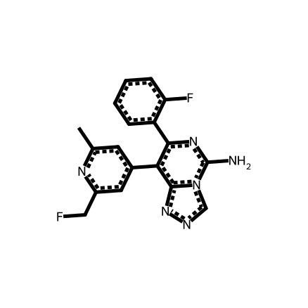 Cc1cc(-c2c(-c3ccccc3F)nc(N)n3cnnc23)cc(CF)n1